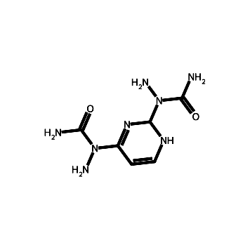 NC(=O)N(N)C1=NC(N(N)C(N)=O)NC=C1